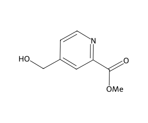 COC(=O)c1cc(CO)ccn1